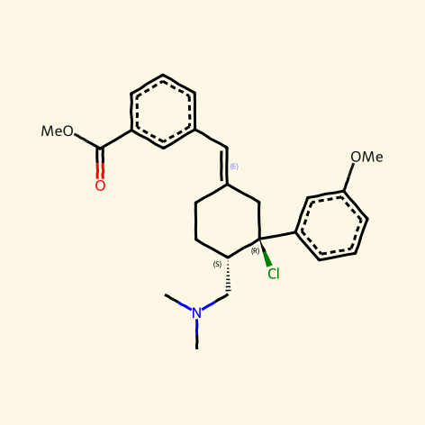 COC(=O)c1cccc(/C=C2\CC[C@@H](CN(C)C)[C@@](Cl)(c3cccc(OC)c3)C2)c1